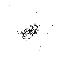 COC(/C=C(/C(C)Br)N(C)c1ccccc1)=C(\C#N)C=O